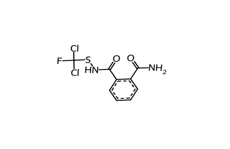 NC(=O)c1ccccc1C(=O)NSC(F)(Cl)Cl